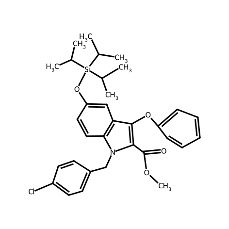 COC(=O)c1c(Oc2ccccc2)c2cc(O[Si](C(C)C)(C(C)C)C(C)C)ccc2n1Cc1ccc(Cl)cc1